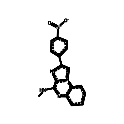 CNc1nc2ccccc2n2cc(-c3ccc([N+](=O)[O-])cc3)nc12